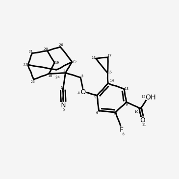 N#CC1(COc2cc(F)c(C(=O)O)cc2C2CC2)C2CC3CC(C2)CC1C3